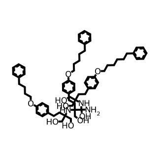 NC(O)(NC(CO)(CO)CCc1ccc(OCCCCCCc2ccccc2)cc1)C(CO)(CCc1ccc(OCCCCCc2ccccc2)cc1)NC(CO)(CO)CCc1ccc(OCCCCc2ccccc2)cc1